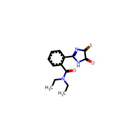 CCN(CC)C(=O)c1ccccc1C1=NC(=S)C(=O)N1